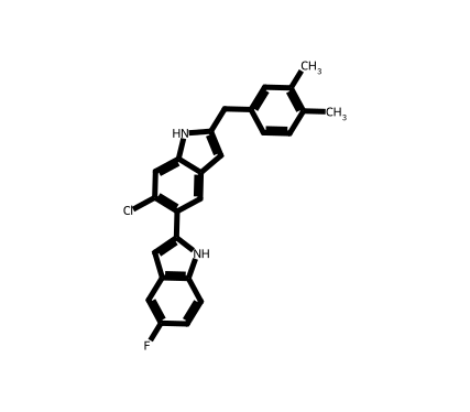 Cc1ccc(Cc2cc3cc(-c4cc5cc(F)ccc5[nH]4)c(Cl)cc3[nH]2)cc1C